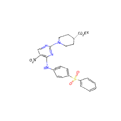 CCOC(=O)C1CCN(c2ncc([N+](=O)[O-])c(Nc3ccc(S(=O)(=O)c4ccccc4)cc3)n2)CC1